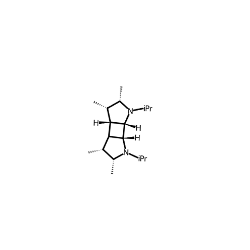 CC(C)N1[C@H](C)[C@H](C)C2[C@@H]3[C@H](C)[C@H](C)N(C(C)C)[C@@H]3[C@@H]21